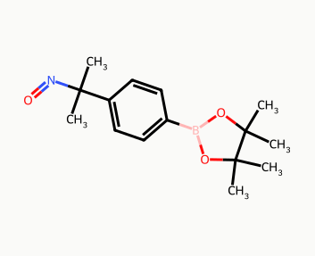 CC(C)(N=O)c1ccc(B2OC(C)(C)C(C)(C)O2)cc1